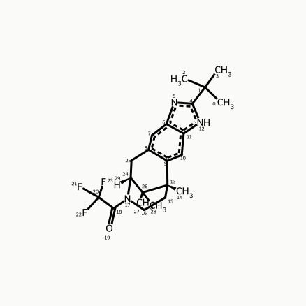 CC(C)(C)c1nc2cc3c(cc2[nH]1)[C@]1(C)CCN(C(=O)C(F)(F)F)[C@H](C3)C1(C)C